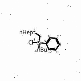 CCCCCCCC[Si](Cl)(CCCC)c1ccccc1